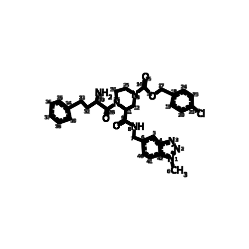 Cn1nnc2cc(CNC(=O)C3CN(C(=O)OCc4ccc(Cl)cc4)CCN3C(=O)C(N)CCc3ccccc3)ccc21